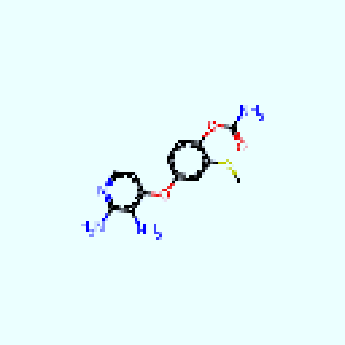 CSc1cc(Oc2ccnc(N)c2N)ccc1OC(N)=O